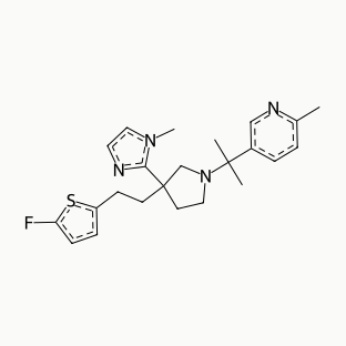 Cc1ccc(C(C)(C)N2CCC(CCc3ccc(F)s3)(c3nccn3C)C2)cn1